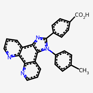 Cc1ccc(-n2c(-c3ccc(C(=O)O)cc3)nc3c4cccnc4c4ncccc4c32)cc1